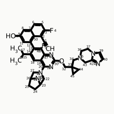 C#Cc1c(F)ccc2cc(O)cc(-c3c(C(C)C)cc4c(N5CC6CCC(C5)N6)nc(OCC5(CN6CCn7ccnc7C6)CC5)nc4c3F)c12